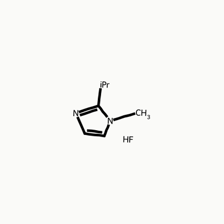 CC(C)c1nccn1C.F